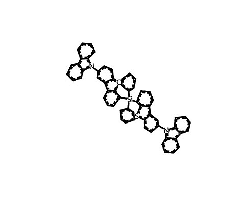 c1ccc([Si](c2ccccc2)(c2cccc3c2oc2ccc(-n4c5ccccc5c5ccccc54)cc23)c2cccc3c2sc2ccc(-n4c5ccccc5c5ccccc54)cc23)cc1